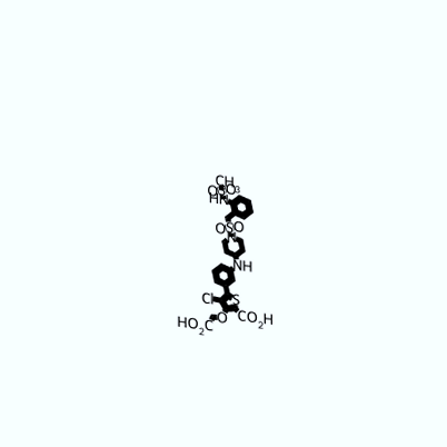 CS(=O)(=O)Nc1ccccc1CS(=O)(=O)N1CCC(Nc2cccc(-c3sc(C(=O)O)c(OCC(=O)O)c3Cl)c2)CC1